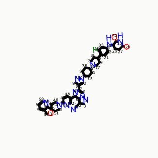 N#Cc1cnn2cc(-c3cnn(C4CCC(N5CCC(c6ccc(NC7CCC(=O)NC7=O)cc6F)CC5)CC4)c3)nc(-c3ccc(N4CCC5(CC4)OCc4cccnc45)nc3)c12